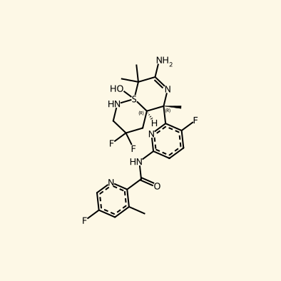 Cc1cc(F)cnc1C(=O)Nc1ccc(F)c([C@@]2(C)N=C(N)C(C)(C)S3(O)NCC(F)(F)C[C@H]23)n1